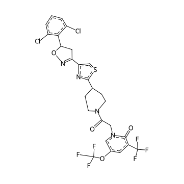 O=C(Cn1cc(OC(F)(F)F)cc(C(F)(F)F)c1=O)N1CCC(c2nc(C3=NOC(c4c(Cl)cccc4Cl)C3)cs2)CC1